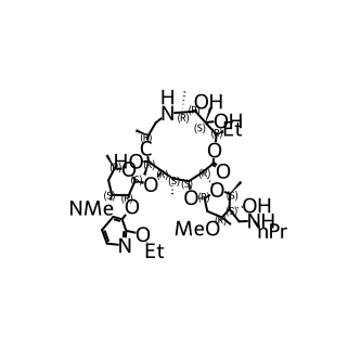 CCCNC[C@]1(O)[C@H](C)O[C@@H](O[C@H]2[C@H](C)[C@@H](O[C@@H]3O[C@H](C)C[C@H](NC)[C@H]3Oc3cccnc3OCC)[C@](C)(O)C[C@@H](C)CN[C@H](C)[C@@H](O)[C@](C)(O)[C@@H](CC)OC(=O)[C@@H]2C)C[C@@]1(C)OC